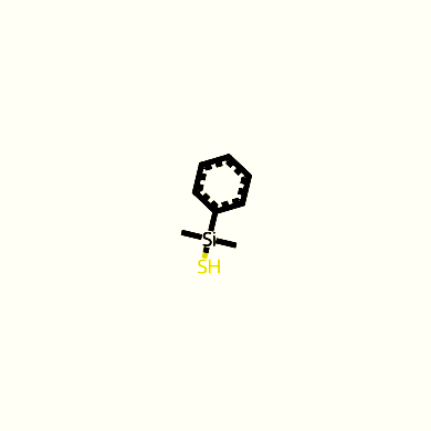 C[Si](C)(S)c1ccccc1